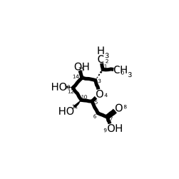 CC(C)[C@@H]1OC(CC(=O)O)[C@@H](O)[C@H](O)C1O